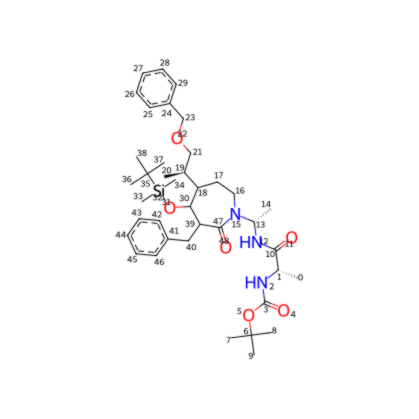 C[C@H](NC(=O)OC(C)(C)C)C(=O)N[C@@H](C)N1CCC([C@@H](C)COCc2ccccc2)C(O[Si](C)(C)C(C)(C)C)C(Cc2ccccc2)C1=O